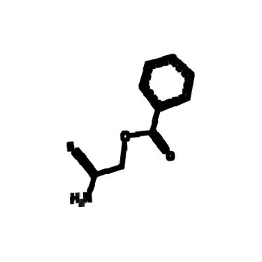 NC(=S)COC(=O)c1ccccc1